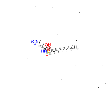 CCCCCCCCCCCCS(=O)(=O)N[C@@H](CCCCN)C(=O)O